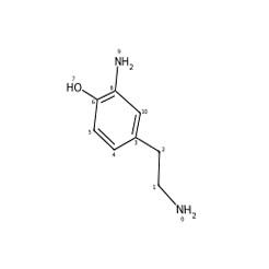 NCCc1ccc(O)c(N)c1